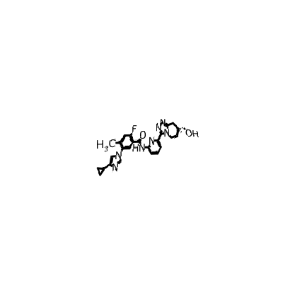 Cc1cc(F)c(C(=O)Nc2cccc(-c3nnc4n3CC[C@@H](CO)C4)n2)cc1-n1cnc(C2CC2)c1